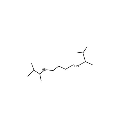 CC(C)C(C)NCCCCNC(C)C(C)C